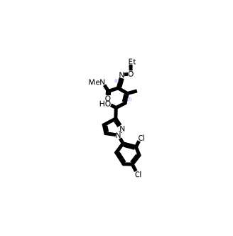 CCO/N=C(C(=O)NC)\C(C)=C/C(O)c1ccn(-c2ccc(Cl)cc2Cl)n1